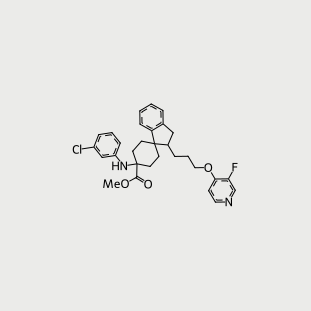 COC(=O)C1(Nc2cccc(Cl)c2)CCC2(CC1)c1ccccc1CC2CCCOc1ccncc1F